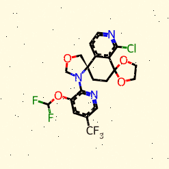 FC(F)Oc1cc(C(F)(F)F)cnc1N1COC[C@@]12CCC1(OCCO1)c1c2ccnc1Cl